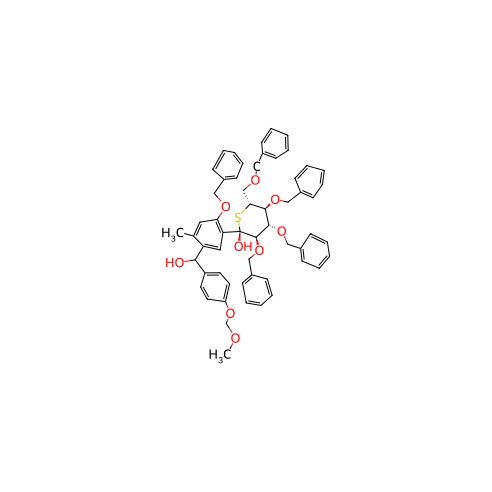 COCOc1ccc(C(O)c2cc([C@]3(O)S[C@H](COCc4ccccc4)[C@@H](OCc4ccccc4)[C@H](OCc4ccccc4)[C@H]3OCc3ccccc3)c(OCc3ccccc3)cc2C)cc1